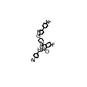 CN(C)c1ccc(CCNC(=O)c2cc(F)ccc2C(=O)N2CCC(Oc3ccc(-c4ccc(N(C)C)cc4)cn3)CC2)cc1